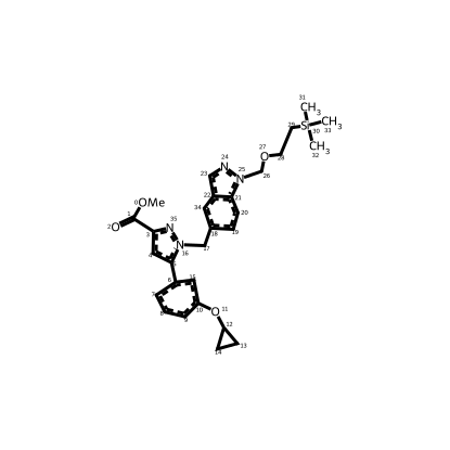 COC(=O)c1cc(-c2cccc(OC3CC3)c2)n(Cc2ccc3c(cnn3COCC[Si](C)(C)C)c2)n1